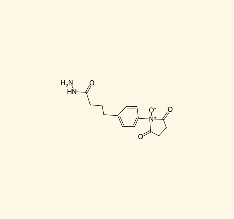 NNC(=O)CCCc1ccc([N+]2([O-])C(=O)CCC2=O)cc1